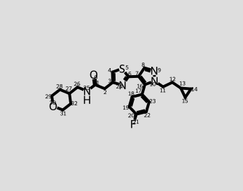 O=C(Cc1csc(-c2cnn(CCC3CC3)c2-c2ccc(F)cc2)n1)NCC1CCOCC1